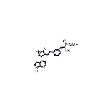 CNC(=O)/C(C#N)=C/c1cccc(-c2cnc3[nH]cc(-c4ccnc5[nH]ccc45)c3c2)c1